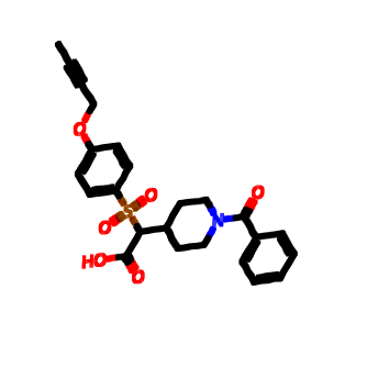 CC#CCOc1ccc(S(=O)(=O)C(C(=O)O)C2CCN(C(=O)c3ccccc3)CC2)cc1